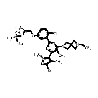 [CH2][C@H](COc1ccc(Cl)c(-c2nc(-c3c(C)c(Br)nn3C)c(C)c(N3CC4(CN(CC(F)(F)F)C4)C3)n2)c1)O[Si](C)(C)C(C)(C)C